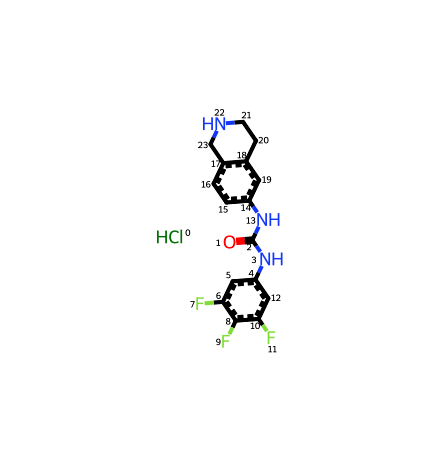 Cl.O=C(Nc1cc(F)c(F)c(F)c1)Nc1ccc2c(c1)CCNC2